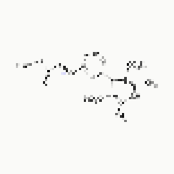 CCOC(=O)C1=C(C)NC(C)=C(C(=O)OCC)C1c1cccc(/C=C/C(=O)OC(C)(C)C)c1